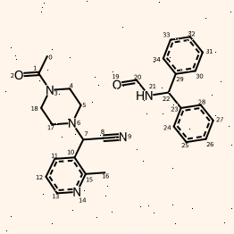 CC(=O)N1CCN(C(C#N)c2cccnc2C)CC1.O=CNC(c1ccccc1)c1ccccc1